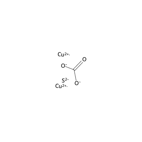 O=C([O-])[O-].[Cu+2].[Cu+2].[S-2]